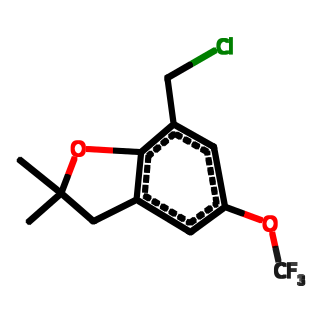 CC1(C)Cc2cc(OC(F)(F)F)cc(CCl)c2O1